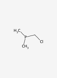 CP(C)CCl